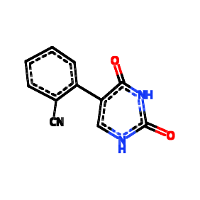 N#Cc1ccccc1-c1c[nH]c(=O)[nH]c1=O